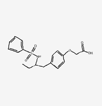 CCC(Cc1ccc(OCC(=O)O)cc1)NS(=O)(=O)c1ccccc1